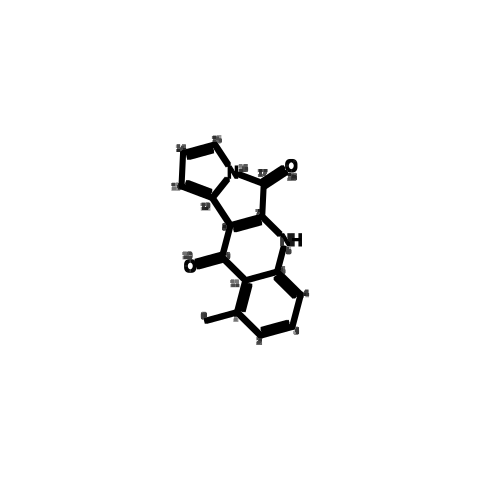 Cc1cccc2[nH]c3c(c(=O)c12)-c1cccn1C3=O